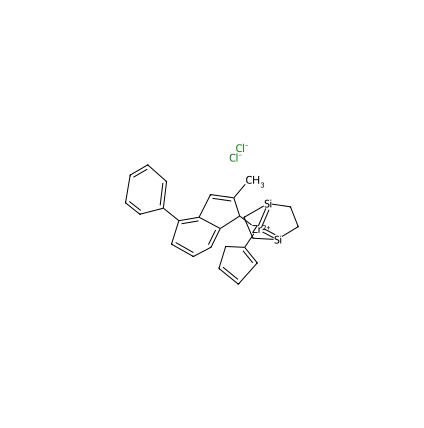 CC1=Cc2c(-c3ccccc3)cccc2[CH]1[Zr+2]1([C]2=CC=CC2)=[Si]2CC[Si]=1CC2.[Cl-].[Cl-]